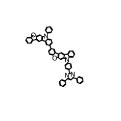 c1ccc(-c2cc(-c3ccccc3)nc(-c3ccc(-n4c5ccccc5c5cc6c(cc54)oc4ccc(-c5ccc7c(c5)c5cc8c(cc5n7-c5ccccc5)oc5ccccc58)cc46)cc3)n2)cc1